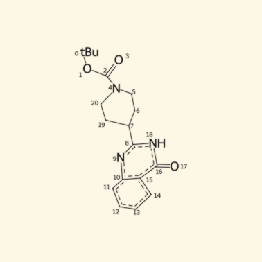 CC(C)(C)OC(=O)N1CCC(c2nc3ccccc3c(=O)[nH]2)CC1